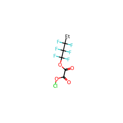 CCC(F)(F)C(F)(F)C(F)(F)OC(=O)C(=O)OCl